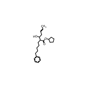 CC=CCC(O)C(CCCCCc1ccccc1)C(=O)OC1CCCC1